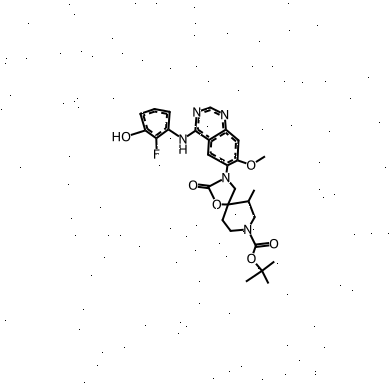 COc1cc2ncnc(Nc3cccc(O)c3F)c2cc1N1CC2(CCN(C(=O)OC(C)(C)C)CC2C)OC1=O